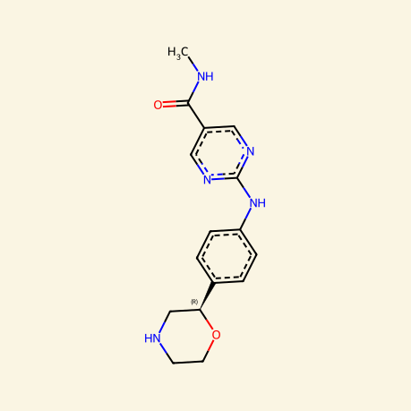 CNC(=O)c1cnc(Nc2ccc([C@@H]3CNCCO3)cc2)nc1